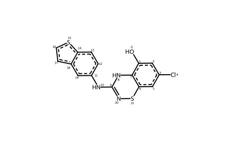 Oc1cc(Cl)cc2c1NC(Nc1ccc3sccc3c1)=NS2